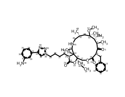 B[C@@H]1[C@@H](C)C(=O)[C@@H](Cc2ccccc2)C(=O)O[C@H](CC)[C@@]2(C)OC(=O)N(CCCCn3cc(-c4cccc(N)c4)nn3)[C@@H]2[C@@H](C)NC[C@H](C)C[C@@]1(C)OC